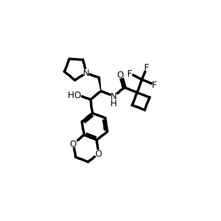 O=C(N[C@H](CN1CCCC1)C(O)c1ccc2c(c1)OCCO2)C1(C(F)(F)F)CCC1